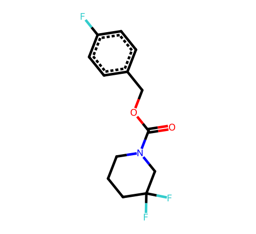 O=C(OCc1ccc(F)cc1)N1CCCC(F)(F)C1